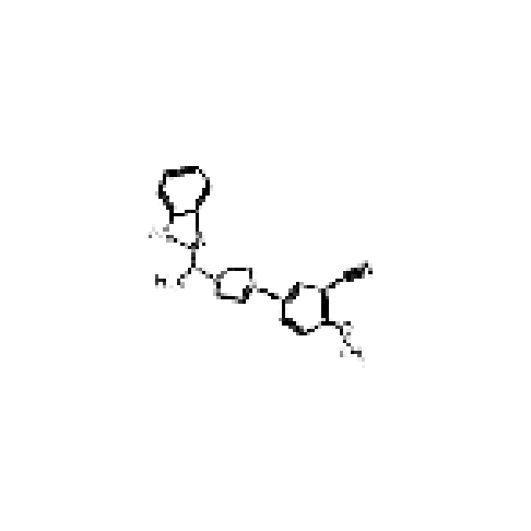 COc1ccc(-c2ccc(C(C)c3nc4ccccc4[nH]3)cc2)cc1C#N